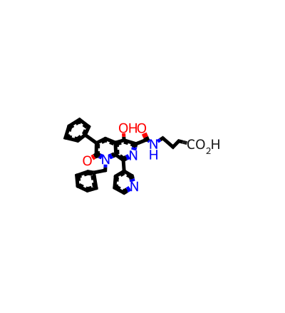 O=C(O)CCCNC(=O)c1nc(-c2cccnc2)c2c(cc(-c3ccccc3)c(=O)n2Cc2ccccc2)c1O